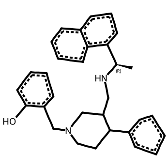 C[C@@H](NCC1CN(Cc2ccccc2O)CCC1c1ccccc1)c1cccc2ccccc12